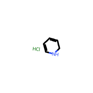 C1=CCNC=C1.Cl